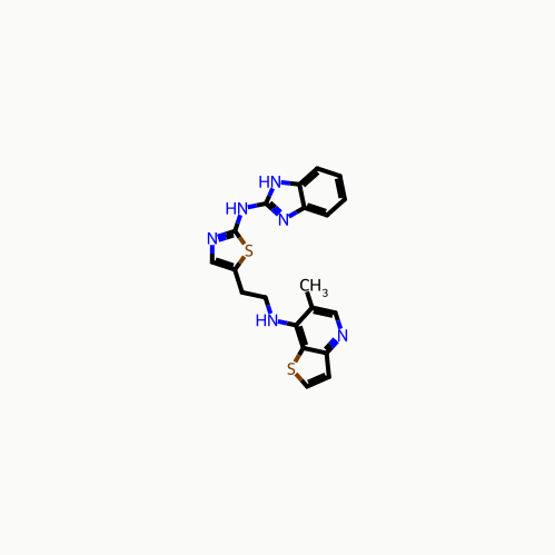 Cc1cnc2ccsc2c1NCCc1cnc(Nc2nc3ccccc3[nH]2)s1